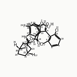 CC(C)(C)c1onc(-c2c(Cl)cccc2Cl)c1C(=O)OC1C[C@H]2CC[C@@H](C1)N2c1nc2c(F)cc(C(=O)O)cc2s1